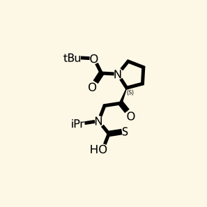 CC(C)N(CC(=O)[C@@H]1CCCN1C(=O)OC(C)(C)C)C(O)=S